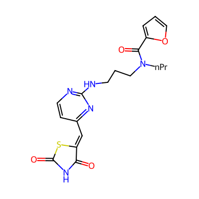 CCCN(CCCNc1nccc(/C=C2\SC(=O)NC2=O)n1)C(=O)c1ccco1